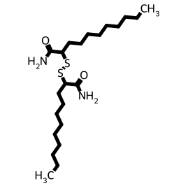 CCCCCCCCCC(SSC(CCCCCCCCC)C(N)=O)C(N)=O